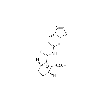 O=C(O)C1C(C(=O)Nc2ccc3ncsc3c2)[C@H]2CC[C@@H]1O2